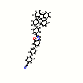 N#Cc1ccc(-c2ccc(-c3ccc4nc(-c5ccc(-c6cccc7c6-c6ccccc6C76c7ccccc7-c7ccccc76)cc5)oc4c3)cc2)cc1